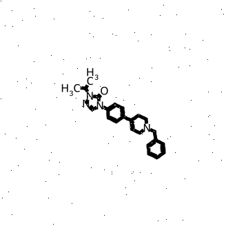 CC(C)n1ncn(-c2ccc(C3=CCN(Cc4ccccc4)CC3)cc2)c1=O